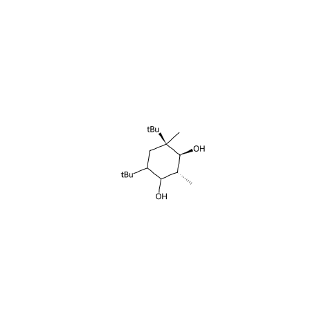 C[C@@H]1C(O)C(C(C)(C)C)C[C@@](C)(C(C)(C)C)[C@H]1O